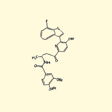 COc1ccc(C(=O)NC(C)CC(=O)c2ccc(OC)c(-c3csc4c(F)cccc34)n2)cc1OC